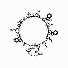 CCCC[C@H]1C(=O)N(C)[C@@H](CCCC)C(=O)N[C@@H](CCCNC(=N)N)C(=O)N[C@H](C(=O)NCC(N)=O)CSCC(=O)N[C@@H](Cc2ccc(C)cc2)C(=O)N(C)[C@@H](C)C(=O)N[C@@H](CC(N)=O)C(=O)N2CCC[C@H]2C(=O)NCC(=O)N[C@@H](CC(C)C)C(=O)N2C[C@H](O)CC2C(=O)N[C@@H](Cc2c[nH]c3ccccc23)C(=O)N[C@@H](CO)C(=O)N[C@@H](Cc2c[nH]c3ccccc23)C(=O)N1C